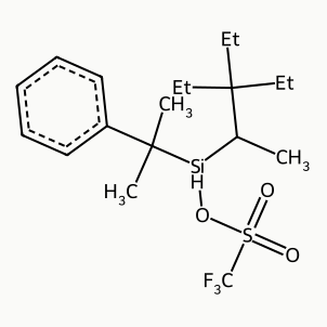 CCC(CC)(CC)C(C)[SiH](OS(=O)(=O)C(F)(F)F)C(C)(C)c1ccccc1